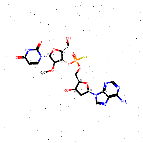 COC1[C@@H](OP(=O)(S)OC[C@H]2O[C@@H](n3cnc4c(N)ncnc43)C[C@H]2O)[C@@H](CO)O[C@H]1n1ccc(=O)[nH]c1=O